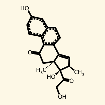 C[C@@H]1C=C2c3ccc4cc(O)ccc4c3C(=O)C[C@]2(C)[C@@]1(O)C(=O)CO